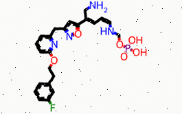 NC/C(=C\C=C/NCOP(=O)(O)O)c1cc(Cc2cccc(OCCc3cccc(F)c3)n2)no1